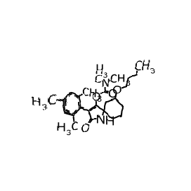 CCCCOC1CCCC2(C1)NC(=O)C(c1c(C)cc(C)cc1C)=C2OC(=O)N(C)C